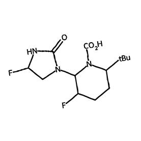 CC(C)(C)C1CCC(F)C(N2CC(F)NC2=O)N1C(=O)O